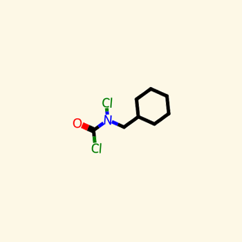 O=C(Cl)N(Cl)CC1CCCCC1